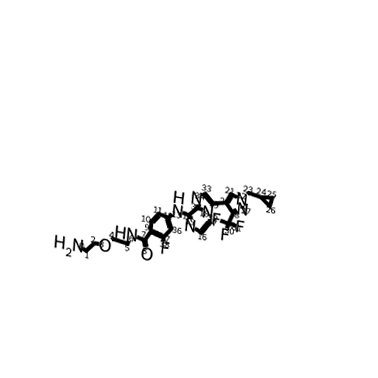 NCCOCCNC(=O)c1ccc(Nc2nccn3c(-c4cn(CC5CC5)nc4C(F)(F)F)cnc23)cc1F